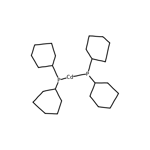 C1CCC([P]([Cd][P](C2CCCCC2)C2CCCCC2)C2CCCCC2)CC1